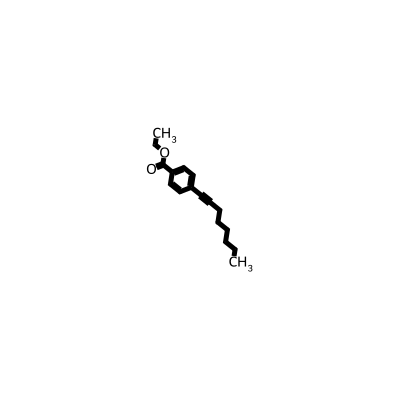 CCCCCCC#Cc1ccc(C(=O)OCC)cc1